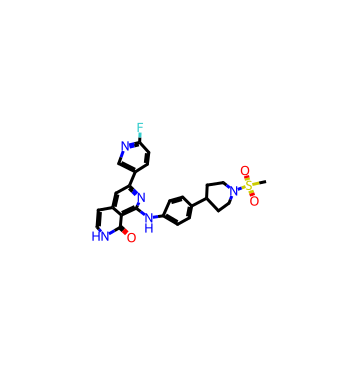 CS(=O)(=O)N1CCC(c2ccc(Nc3nc(-c4ccc(F)nc4)cc4cc[nH]c(=O)c34)cc2)CC1